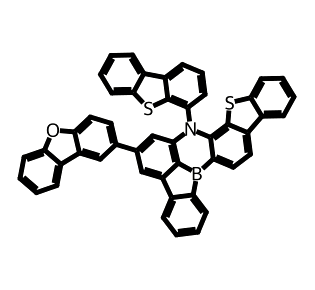 c1ccc2c(c1)B1c3ccc4c(sc5ccccc54)c3N(c3cccc4c3sc3ccccc34)c3cc(-c4ccc5oc6ccccc6c5c4)cc-2c31